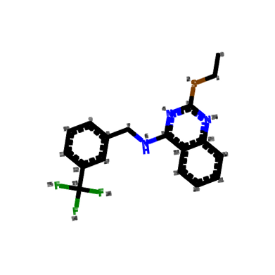 CCSc1nc(NCc2cccc(C(F)(F)F)c2)c2ccccc2n1